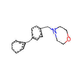 [c]1ccc(-c2ccc(CN3CCOCC3)cc2)cc1